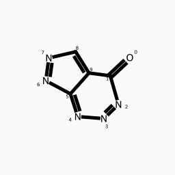 O=C1N=NN=C2N=NC=C12